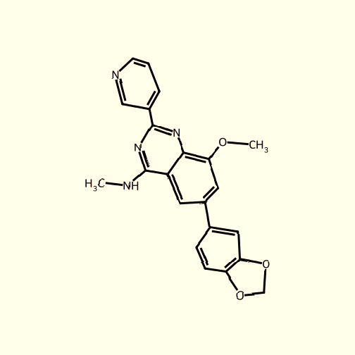 CNc1nc(-c2cccnc2)nc2c(OC)cc(-c3ccc4c(c3)OCO4)cc12